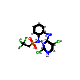 O=S(=O)(CC(F)(F)F)Nc1ccccc1Nc1nc(Cl)ncc1Cl